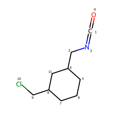 O=C=NCC1CCCC(CCl)C1